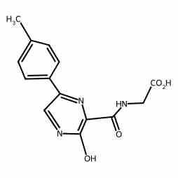 Cc1ccc(-c2cnc(O)c(C(=O)NCC(=O)O)n2)cc1